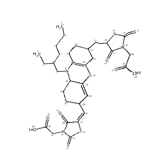 CCCCC(CC)CN1C2=C(CC(CC3SC(=S)N(CC(=O)O)C3=O)CC2)SC2=CC(/C=C3/SC(=S)N(CC(=O)O)C3=O)CCC21